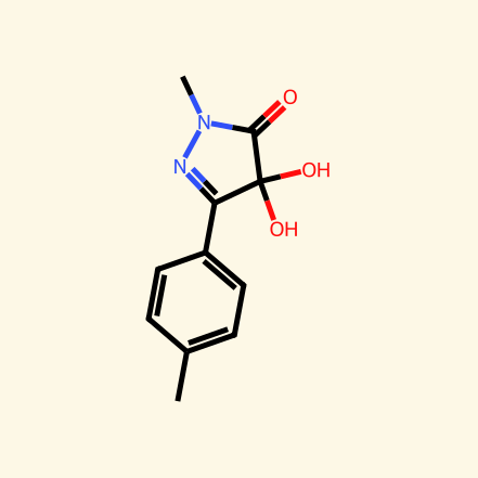 Cc1ccc(C2=NN(C)C(=O)C2(O)O)cc1